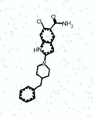 NC(=O)c1cc2cc(N3CCC(Cc4ccccc4)CC3)[nH]c2cc1Cl